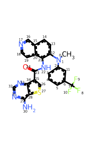 CN(c1cccc(C(F)(F)F)c1)c1ccc2cnccc2c1NC(=O)c1csc2c(N)ncnc12